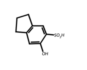 O=S(=O)(O)c1cc2c(cc1O)CCC2